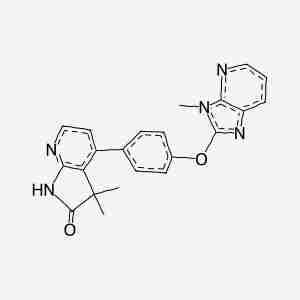 Cn1c(Oc2ccc(-c3ccnc4c3C(C)(C)C(=O)N4)cc2)nc2cccnc21